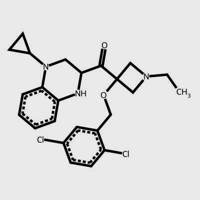 CCN1CC(OCc2cc(Cl)ccc2Cl)(C(=O)C2CN(C3CC3)c3ccccc3N2)C1